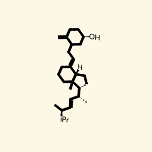 C=C1CC[C@H](O)CC1C/C=C1\CCCC2(C)[C@@H]([C@H](C)/C=C/[C@H](C)C(C)C)CC[C@@H]12